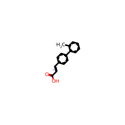 [CH2]c1ccccc1-c1ccc(/C=C/C(=O)O)cc1